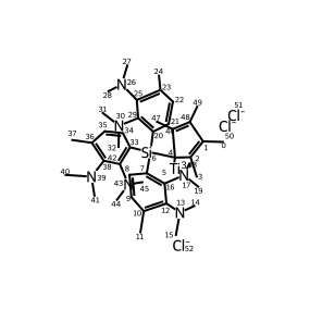 CC1=C(C)[C]([Ti+3])([Si](c2ccc(C)c(N(C)C)c2N(C)C)(c2ccc(C)c(N(C)C)c2N(C)C)c2ccc(C)c(N(C)C)c2N(C)C)C(C)=C1C.[Cl-].[Cl-].[Cl-]